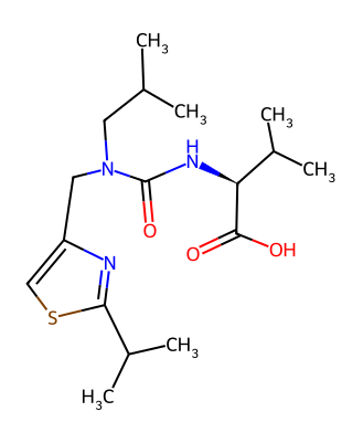 CC(C)CN(Cc1csc(C(C)C)n1)C(=O)N[C@H](C(=O)O)C(C)C